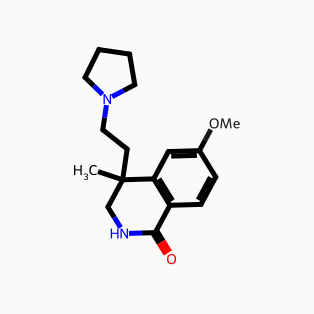 COc1ccc2c(c1)C(C)(CCN1CCCC1)CNC2=O